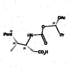 CCC[C@@H](C)[C@@H](C)[C@@H](CC(=O)O)NC(=O)O[C@H](OC(C)=O)C(C)C